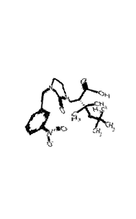 CC(C)(C)CC(C)(C)[C@@H](C(=O)O)N1CCN(Cc2cccc([N+](=O)[O-])c2)C1=O